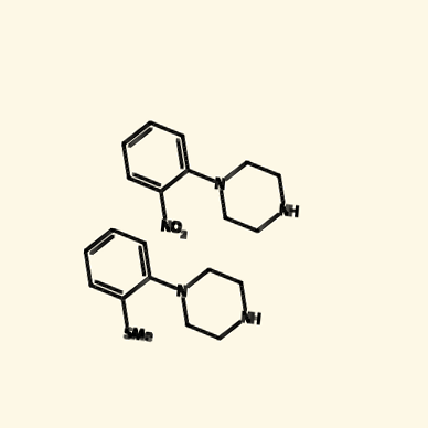 CSc1ccccc1N1CCNCC1.O=[N+]([O-])c1ccccc1N1CCNCC1